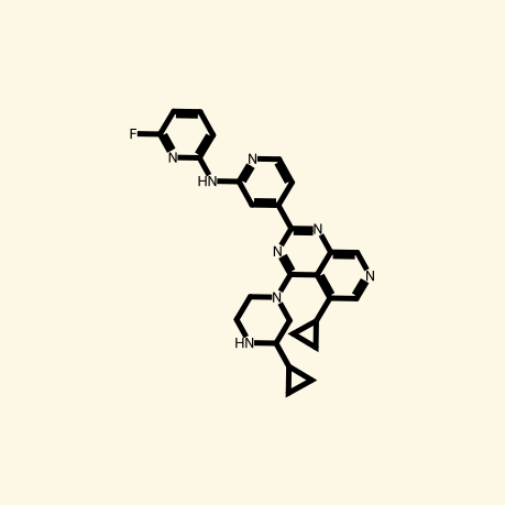 Fc1cccc(Nc2cc(-c3nc(N4CCNC(C5CC5)C4)c4c(C5CC5)cncc4n3)ccn2)n1